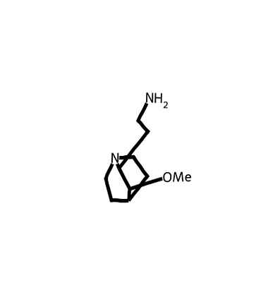 COC1C2CCN(CC2)C1CCN